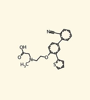 CN(CCOc1ccc(-c2ccccc2C#N)cc1-c1cccs1)CC(=O)O